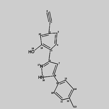 C#Cc1ccc(-c2cc(-c3ccc(C)cc3)[nH]n2)c(O)c1